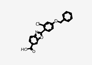 O=C(O)c1ccc2nc(-c3ccc(OCc4ccccc4)cc3Cl)oc2c1